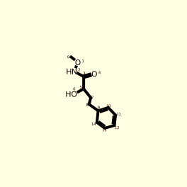 CONC(=O)C(O)CCc1ccccc1